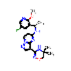 COc1ncc(F)cc1[C@@H](C)Nc1ccn2ncc(C3=NOCC(C)(C)N3)c2n1